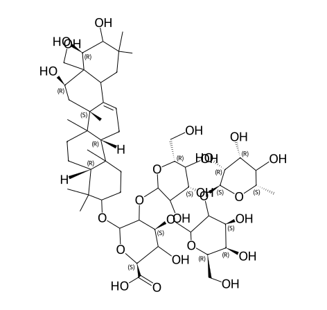 C[C@@H]1O[C@@H](OC2C(O[C@@H]3C(OC4O[C@H](CO)C(O)[C@H](O)C4O)C(OC4CCC5(C)[C@H]6CC=C7C8CC(C)(C)C(O)[C@H](O)C8(CO)[C@H](O)C[C@@]7(C)C6(C)CC[C@H]5C4(C)C)O[C@H](C(=O)O)C3O)O[C@H](CO)[C@H](O)[C@@H]2O)[C@H](O)[C@H](O)C1O